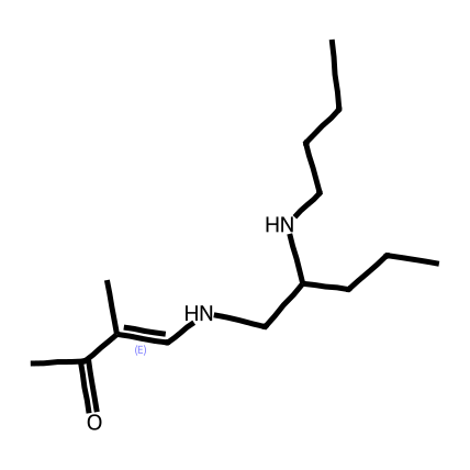 CCCCNC(CCC)CN/C=C(\C)C(C)=O